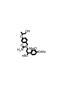 CCCCC(CCN(Cc1ccc(OC(C)CO)cc1)C(N)=O)c1ccc(OC)cc1OC